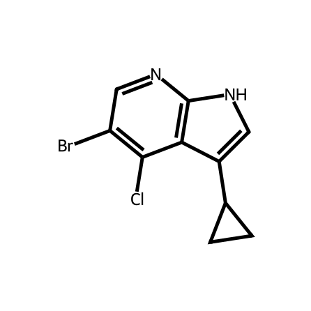 Clc1c(Br)cnc2[nH]cc(C3CC3)c12